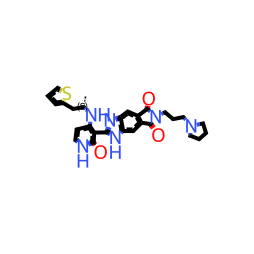 C[C@@H](Cc1cccs1)Nc1cc[nH]c(=O)c1-c1nc2cc3c(cc2[nH]1)C(=O)N(CCCN1CCCC1)C3=O